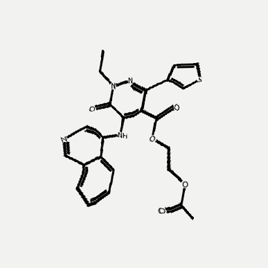 CCn1nc(-c2ccsc2)c(C(=O)OCCOC(C)=O)c(Nc2cncc3ccccc23)c1=O